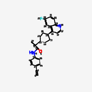 C#Cc1ccc(NC(=O)[C@@H](C)[C@H]2CC[C@H](c3ccnc4ccc(F)cc43)CC2)cc1